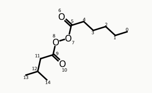 CCCCCC(=O)OOC(=O)CC(C)C